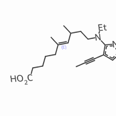 CC#Cc1cnn(C)c1N(CC)CCC(C)/C=C(\C)CCCCC(=O)O